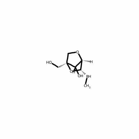 CB[C@@H]1O[C@@]2(CO)CO[C@@H]1[C@@H]2O